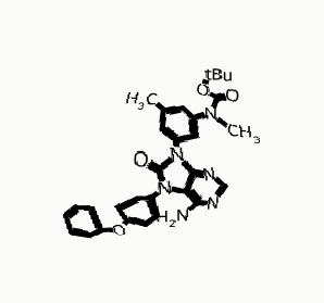 Cc1cc(N(C)C(=O)OC(C)(C)C)cc(-n2c(=O)n(-c3ccc(Oc4ccccc4)cc3)c3c(N)ncnc32)c1